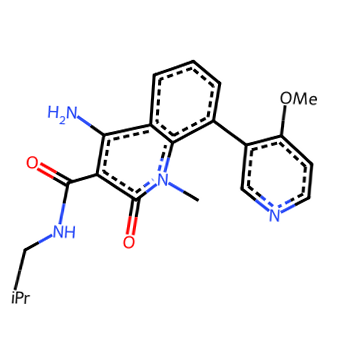 COc1ccncc1-c1cccc2c(N)c(C(=O)NCC(C)C)c(=O)n(C)c12